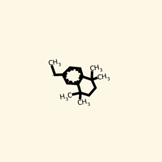 C[CH]c1ccc2c(c1)C(C)(C)CCC2(C)C